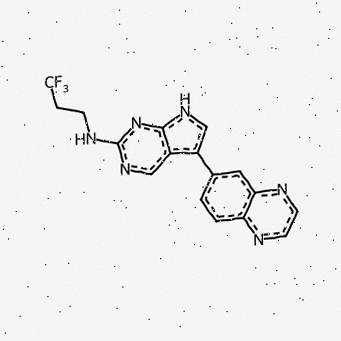 FC(F)(F)CCNc1ncc2c(-c3ccc4nccnc4c3)c[nH]c2n1